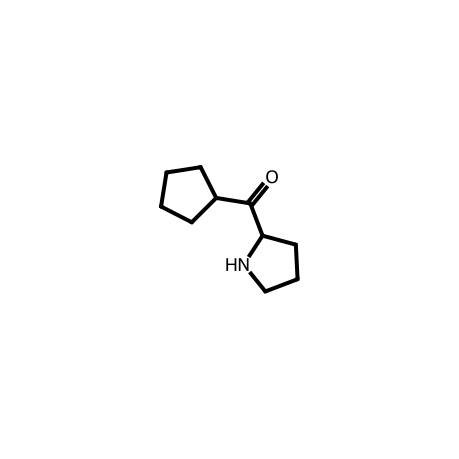 O=C(C1CCCC1)C1CCCN1